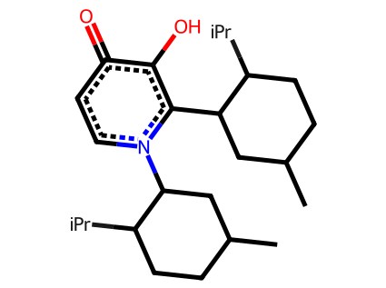 CC1CCC(C(C)C)C(c2c(O)c(=O)ccn2C2CC(C)CCC2C(C)C)C1